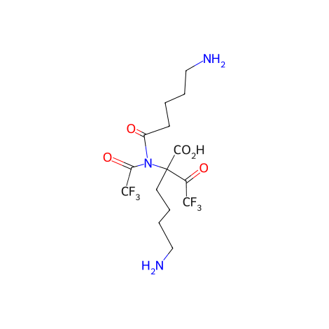 NCCCCC(=O)N(C(=O)C(F)(F)F)C(CCCCN)(C(=O)O)C(=O)C(F)(F)F